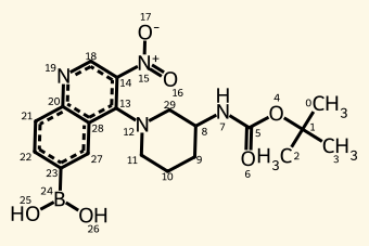 CC(C)(C)OC(=O)NC1CCCN(c2c([N+](=O)[O-])cnc3ccc(B(O)O)cc23)C1